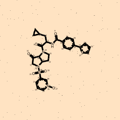 O=C(NC(CC1CC1)C(=O)N1CCC2C1C(=O)CN2S(=O)(=O)c1ccc[n+]([O-])c1)c1ccc(-c2cccs2)cc1